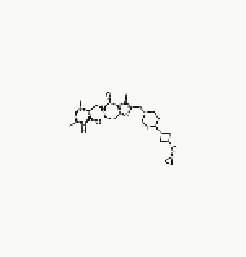 Cc1cc(C)c(CN2CCc3sc(CC4CCC(N5CC(OC6CC6)C5)CC4)c(C)c3C2=O)c(=O)[nH]1